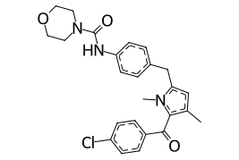 Cc1cc(Cc2ccc(NC(=O)N3CCOCC3)cc2)n(C)c1C(=O)c1ccc(Cl)cc1